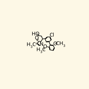 COc1cccc(OC)c1-c1cc(Cl)cc(C(CC(=O)O)c2ncc(C)s2)c1